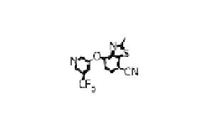 Cc1nc2c(Oc3cncc(C(F)(F)F)c3)ccc(C#N)c2s1